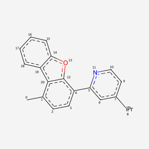 Cc1ccc(-c2cc(C(C)C)ccn2)c2oc3ccccc3c12